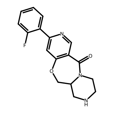 O=C1c2cnc(-c3ccccc3F)cc2OCC2CNCCN12